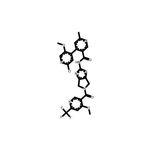 COc1cc(C(F)(F)F)ncc1C(=O)N1Cc2nc(NC(=O)c3cnc(C)cc3-c3cc(Cl)ncc3OC)sc2C1